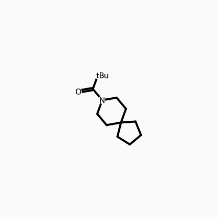 CC(C)(C)C(=O)N1CCC2(CCCC2)CC1